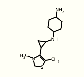 CC1=C(C2CC2NC2CCC(N)CC2)N(C)CS1